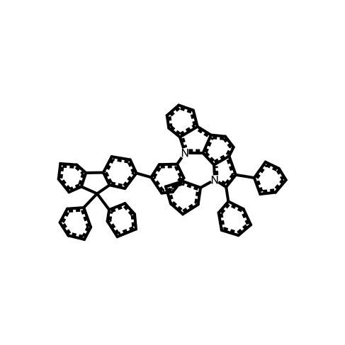 c1ccc(-c2c(-c3ccccc3)n(-c3ccccc3)c3c2ccc2c4ccccc4n(-c4cccc(-c5ccc6c(c5)C(c5ccccc5)(c5ccccc5)c5ccccc5-6)c4)c23)cc1